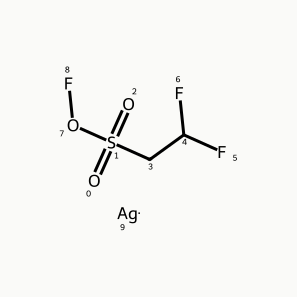 O=S(=O)(CC(F)F)OF.[Ag]